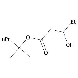 CCCC(C)(C)OC(=O)CC(O)CC